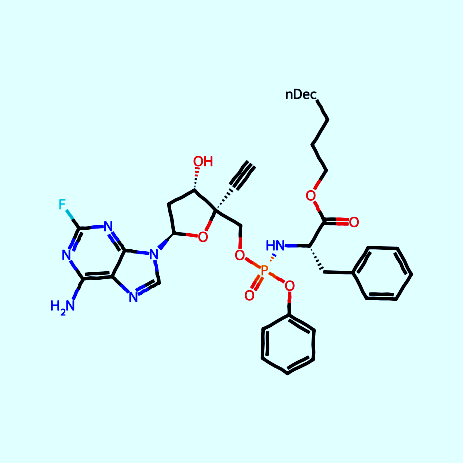 C#C[C@]1(CO[P@@](=O)(N[C@@H](Cc2ccccc2)C(=O)OCCCCCCCCCCCCC)Oc2ccccc2)O[C@@H](n2cnc3c(N)nc(F)nc32)C[C@@H]1O